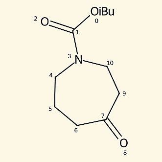 CC(C)COC(=O)N1CCCC(=O)CC1